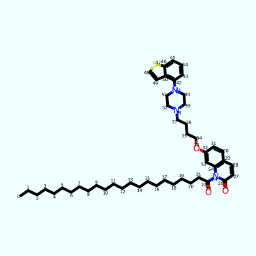 CCCCCCCCCCCCCCCCCCCCCCC(=O)n1c(=O)ccc2ccc(OCCCCN3CCN(c4cccc5sccc45)CC3)cc21